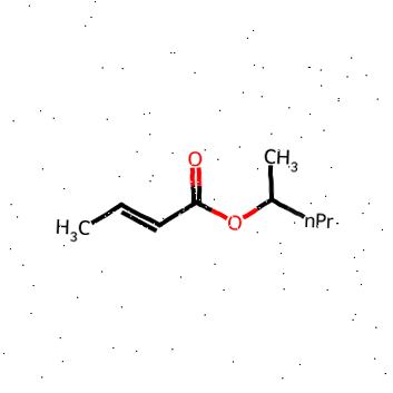 CC=CC(=O)OC(C)CCC